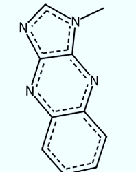 Cn1cnc2nc3ccccc3nc21